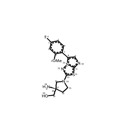 COc1cc(F)ccc1-c1cnc2sc(N3CC[C@](N)(CO)C3)nn12